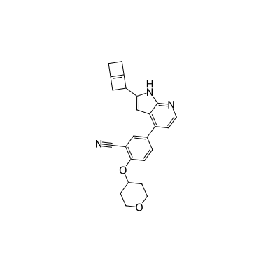 N#Cc1cc(-c2ccnc3[nH]c(C4CC5=C4CC5)cc23)ccc1OC1CCOCC1